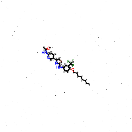 CCCCCCCCOc1ccc(Nc2nc(-c3ccc(NC(C)=O)nc3)cs2)cc1C(F)(F)F